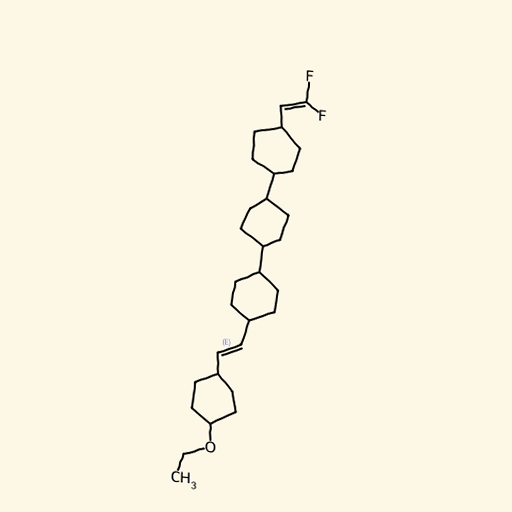 CCOC1CCC(/C=C/C2CCC(C3CCC(C4CCC(C=C(F)F)CC4)CC3)CC2)CC1